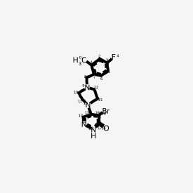 Cc1cc(F)ccc1CN1CCN(c2cn[nH]c(=O)c2Br)CC1